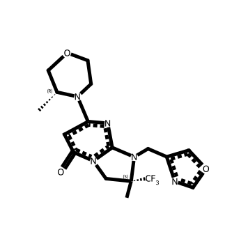 C[C@@H]1COCCN1c1cc(=O)n2c(n1)N(Cc1cocn1)[C@](C)(C(F)(F)F)C2